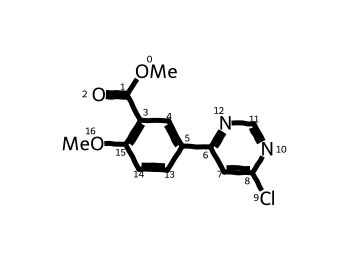 COC(=O)c1cc(-c2cc(Cl)ncn2)ccc1OC